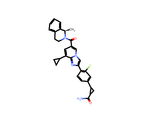 C[C@@H]1c2ccccc2CCN1C(=O)c1cc(C2CC2)c2nc(-c3ccc(C4CC4C(N)=O)cc3F)cn2c1